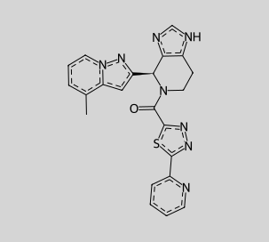 Cc1cccn2nc([C@H]3c4nc[nH]c4CCN3C(=O)c3nnc(-c4ccccn4)s3)cc12